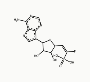 Nc1ncnc2c1ncn2C1OC(C=C(F)P(=O)(O)O)C(O)C1O